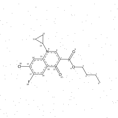 CCCCOC(=O)c1cn(C2CC2)c2cc(Cl)c(F)cc2c1=O